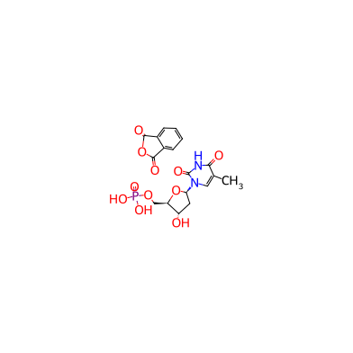 Cc1cn([C@H]2C[C@H](O)[C@@H](COP(=O)(O)O)O2)c(=O)[nH]c1=O.O=C1OC(=O)c2ccccc21